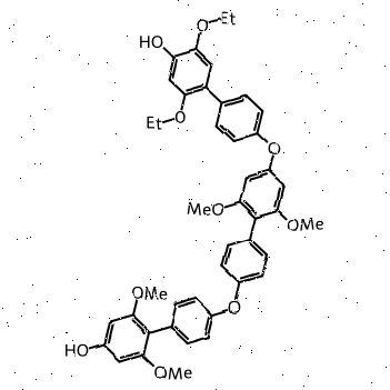 CCOc1cc(-c2ccc(Oc3cc(OC)c(-c4ccc(Oc5ccc(-c6c(OC)cc(O)cc6OC)cc5)cc4)c(OC)c3)cc2)c(OCC)cc1O